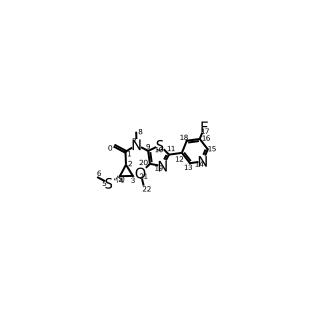 C=C(C1C[C@@H]1SC)N(C)c1sc(-c2cncc(F)c2)nc1OC